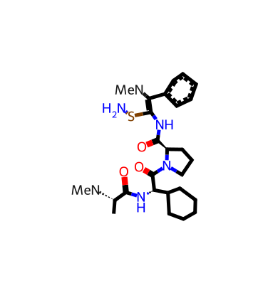 CN/C(=C(/NC(=O)[C@H]1CCCN1C(=O)[C@@H](NC(=O)[C@H](C)NC)C1CCCCC1)SN)c1ccccc1